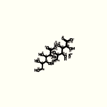 O=C([O-])C(O)C(O)C(O)C(O)CO.O=C([O-])C(O)C(O)C(O)C(O)CO.[K+].[Li+]